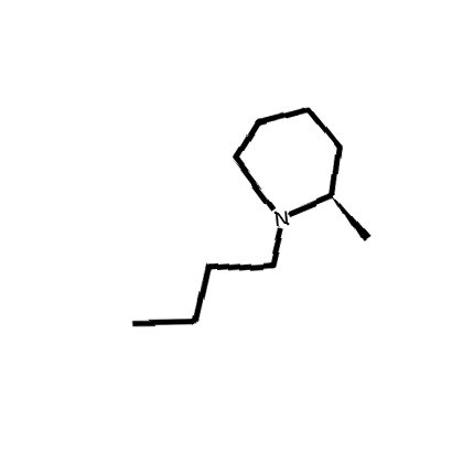 CCCCN1CCCC[C@H]1C